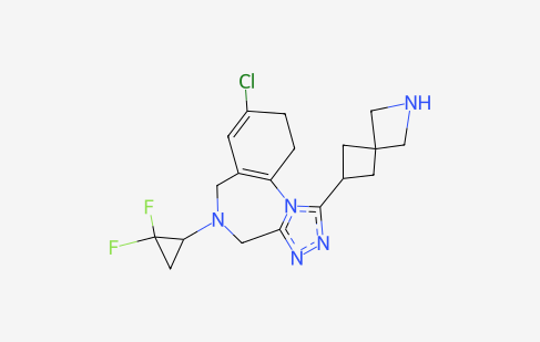 FC1(F)CC1N1CC2=C(CCC(Cl)=C2)n2c(nnc2C2CC3(CNC3)C2)C1